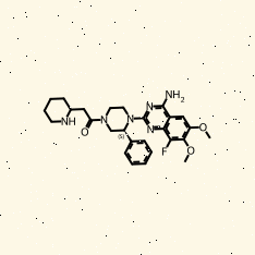 COc1cc2c(N)nc(N3CCN(C(=O)CC4CCCCN4)C[C@@H]3c3ccccc3)nc2c(F)c1OC